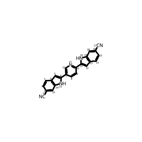 N#Cc1ccc2cc(-c3ccc(-c4cc5ccc(C#N)cc5[nH]4)nc3)[nH]c2c1